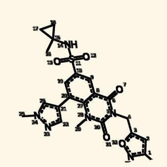 Cc1cc(Cn2c(=O)c3cc(S(=O)(=O)NC4(C)CC4)cc(-c4cnn(C)c4)c3n(C)c2=O)on1